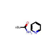 CCCCC(N)=O.c1ccncc1